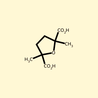 CC1(C(=O)O)CCC(C)(C(=O)O)O1